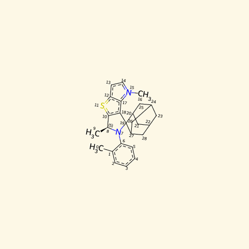 Cc1ccccc1N1[C@@H](C)c2sc3ccn(C)c3c2C12C1CC3CC(C1)CC2C3